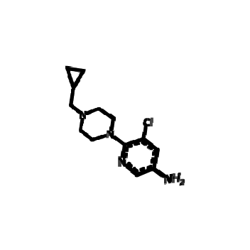 Nc1cnc(N2CCN(CC3CC3)CC2)c(Cl)c1